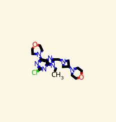 CCn1c(CN2CC(N3CCOCC3)C2)nc2c(N3CCOCC3)nc(Cl)nc21